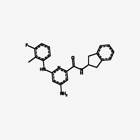 Cc1c(F)cccc1Nc1cc(N)cc(C(=O)NC2Cc3ccccc3C2)n1